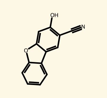 N#Cc1cc2c(cc1O)oc1ccccc12